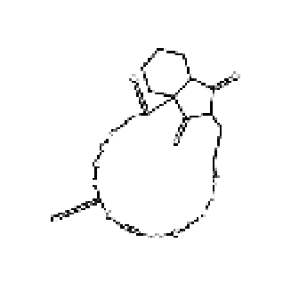 O=C1C/C=C\CCCCCCCCC2C(=O)C3CCCCC3(C(=O)CCCCC1)C2=O